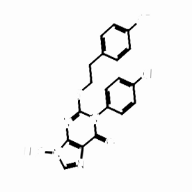 Cn1cnc2c(=O)n(-c3ccc(Cl)cc3)c(SCCc3ccc(C(F)(F)F)cc3)nc21